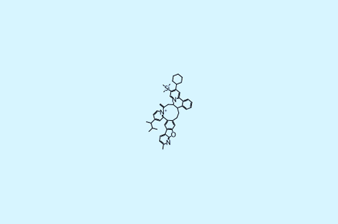 C=C1CC2C(CCc3cc4oc5nc(C)ccc5c4cc3-c3cc(C(C)C(C)C)cc[n+]31)c1ccccc1-c1cc(C3CCCCC3)c([Si](C)(C)C)c[n+]12